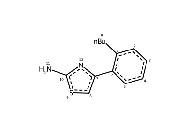 CCCCc1ccccc1-c1csc(N)n1